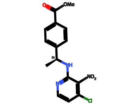 COC(=O)c1ccc([C@H](C)Nc2nccc(Cl)c2[N+](=O)[O-])cc1